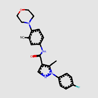 Cc1c(C(=O)Nc2ccc(N3CCOCC3)c(C#N)c2)cnn1-c1ccc(F)cc1